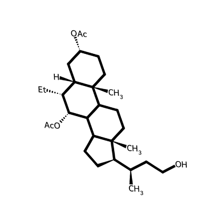 CC[C@H]1[C@@H](OC(C)=O)C2C3CC[C@H]([C@H](C)CCO)[C@@]3(C)CCC2[C@@]2(C)CC[C@@H](OC(C)=O)C[C@@H]12